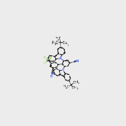 CC(C)(C)c1ccc2c(c1)c1ccccc1n2-c1cc(C#N)cc(-n2c3ccccc3c3cc(C(C)(C)C)ccc32)c1-c1cc(C#N)cc(C(F)(F)F)c1